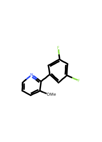 COc1cccnc1-c1cc(F)cc(F)c1